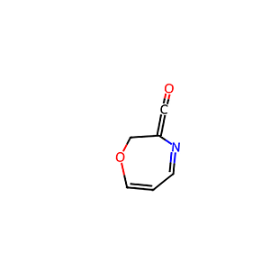 O=C=C1COC=CC=N1